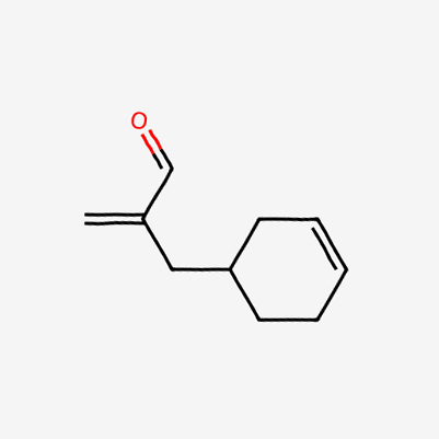 C=C(C=O)CC1CC=CCC1